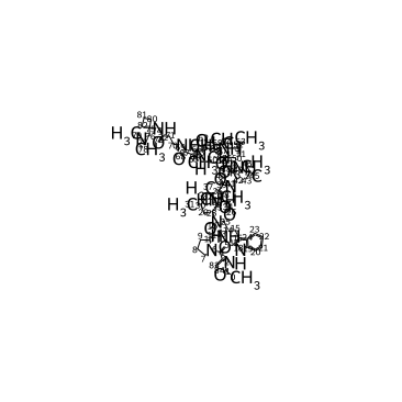 Cc1nc(C(=O)N2CCC[C@H]2C(=O)N[C@@H](Cc2c[nH]c3ccccc23)C(=O)N[C@@H](CC(C)C)C(=O)NC(C)(C)C(=O)N[C@@H](CC(C)C)C(=O)N[C@@H](CC(C)C)C(=O)NC(C)(C)C(=O)NC(C)(C)C(=O)NCCC(=O)NC2(CN(C)C)CCC2)co1